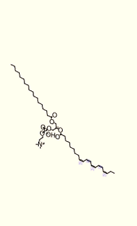 CC\C=C/C=C\C=C/C=C\C=C/CCCCCCCC(=O)O[C@H](COC(=O)CCCCCCCCCCCCCCCCC)COP(=O)(O)OCC[N+](C)(C)C